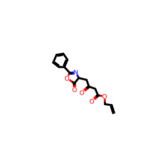 C=CCOC(=O)CC(=O)CC1N=C(c2ccccc2)OC1=O